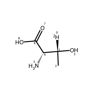 [2H][C@](C)(O)[C@H](N)C(=O)O